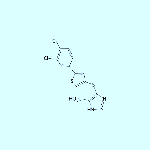 O=C(O)c1[nH]nnc1Sc1csc(-c2ccc(Cl)c(Cl)c2)c1